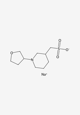 O=S(=O)([O-])CC1CCCN(C2CCOC2)C1.[Na+]